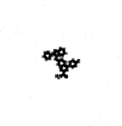 NC(=O)c1cc(-c2ccc(F)cc2)c2ccc(Cn3c(-c4ccccn4)nc4ccccc43)cc2n1